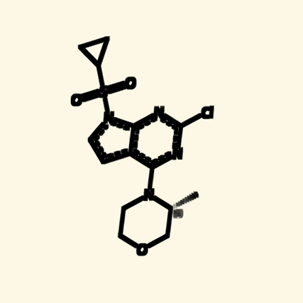 C[C@@H]1COCCN1c1nc(Cl)nc2c1ccn2S(=O)(=O)C1CC1